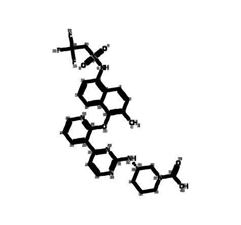 Cc1ccc2c(NS(=O)(=O)CC(F)(F)F)cccc2c1Oc1ncccc1-c1ccnc(N[C@H]2CCCN(C(=O)O)C2)n1